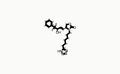 O=C1OC[C@H](/C=C/[C@@H](O)C(F)(F)c2ccccc2)N1CCCCCCc1nnn[nH]1